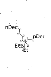 CCCCCCCCCCCCCCC(C)(CCCCCCCCCCCC)N(CC)CC